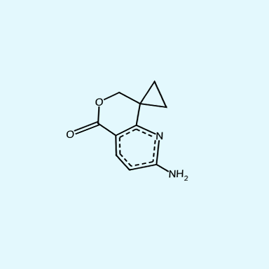 Nc1ccc2c(n1)C1(CC1)COC2=O